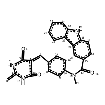 C=c1[nH]c(=O)c(=Cc2ccc(N(C)C(=O)c3ccc4[nH]c5ccccc5c4c3)cc2)c(=O)[nH]1